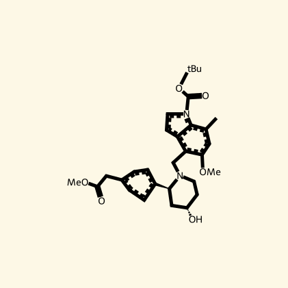 COC(=O)Cc1ccc([C@@H]2C[C@@H](O)CCN2Cc2c(OC)cc(C)c3c2ccn3C(=O)OC(C)(C)C)cc1